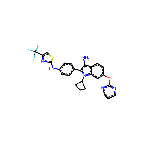 Nc1c(-c2ccc(Nc3nc(C(F)(F)F)cs3)cc2)n(C2CCC2)c2cc(Oc3ncccn3)ccc12